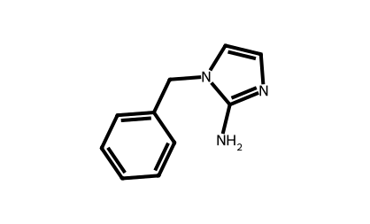 Nc1nccn1Cc1ccccc1